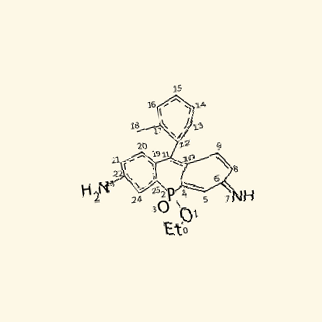 CCOP1(=O)C2=CC(=N)C=CC2=C(c2ccccc2C)c2ccc(N)cc21